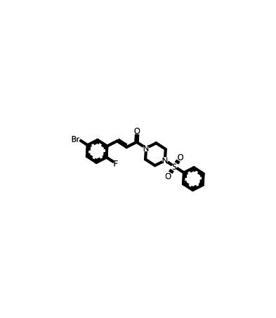 O=C(C=Cc1cc(Br)ccc1F)N1CCN(S(=O)(=O)c2ccccc2)CC1